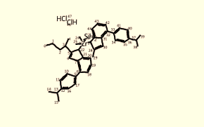 CCCC(C)C1=Cc2c(-c3ccc(C(C)C)cc3)cccc2[CH]1[Zr]([CH3])([CH3])(=[SiH2])[CH]1C(C)=Cc2c(-c3ccc(C(C)C)cc3)cccc21.Cl.Cl